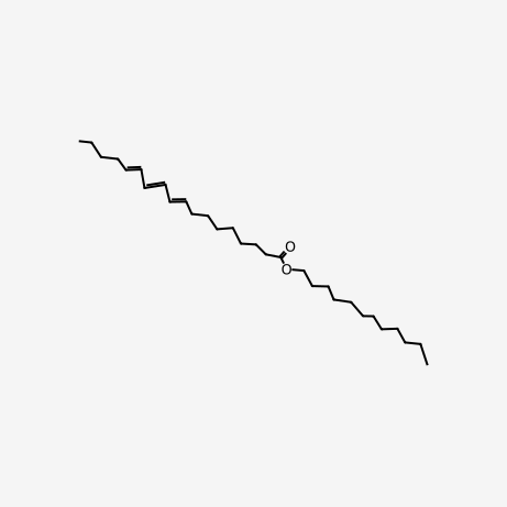 CCCCC=CC=CC=CCCCCCCCC(=O)OCCCCCCCCCCCC